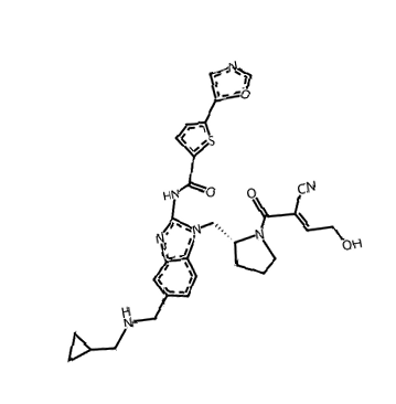 N#C/C(=C\CO)C(=O)N1CCC[C@@H]1Cn1c(NC(=O)c2ccc(-c3cnco3)s2)nc2cc(CNCC3CC3)ccc21